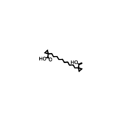 C=C(O)C1(CCCCCCCCCCC2(C(=O)O)CC2)CC1